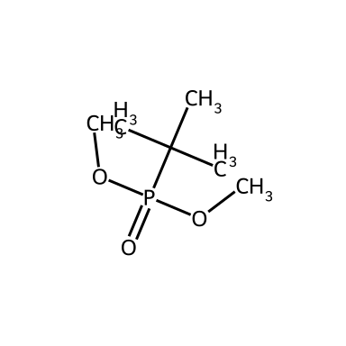 COP(=O)(OC)C(C)(C)C